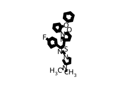 CN(C)C1CCN(c2nc(-c3ccc(F)cc3)c(-c3ccc(=O)n(-c4ccccc4Oc4ccccc4)n3)s2)C1